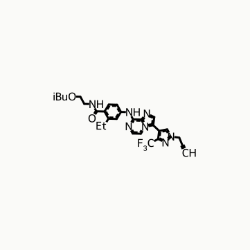 C#CCn1cc(-c2cnc3c(Nc4ccc(C(=O)NCCOCC(C)C)c(CC)c4)nccn23)c(C(F)(F)F)n1